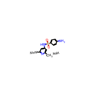 CNc1cc(NS(=O)(=O)c2ccc(N)cc2)cc(C)n1.[NaH]